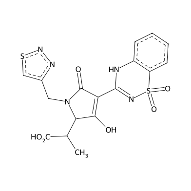 CC(C(=O)O)C1C(O)=C(C2=NS(=O)(=O)c3ccccc3N2)C(=O)N1Cc1csnn1